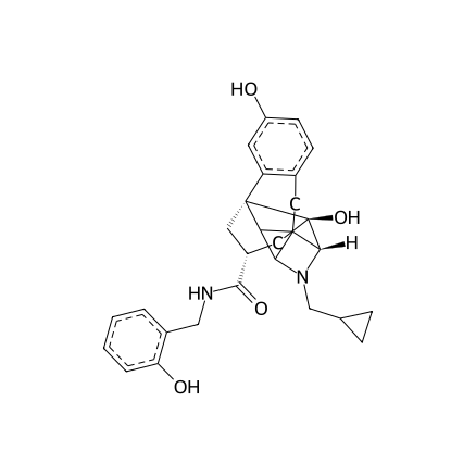 O=C(NCc1ccccc1O)[C@H]1C[C@@]2(O)[C@@H]3N(CC4CC4)C4C5C43Cc3ccc(O)cc3[C@]52C1